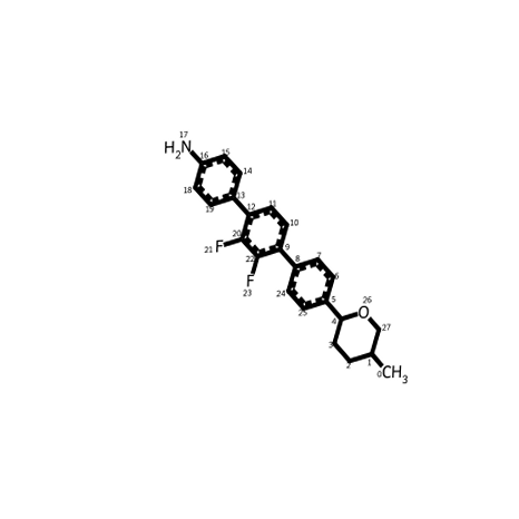 CC1CCC(c2ccc(-c3ccc(-c4ccc(N)cc4)c(F)c3F)cc2)OC1